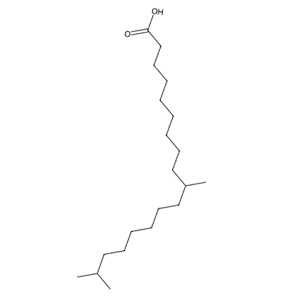 CC(C)CCCCCCC(C)CCCCCCCCC(=O)O